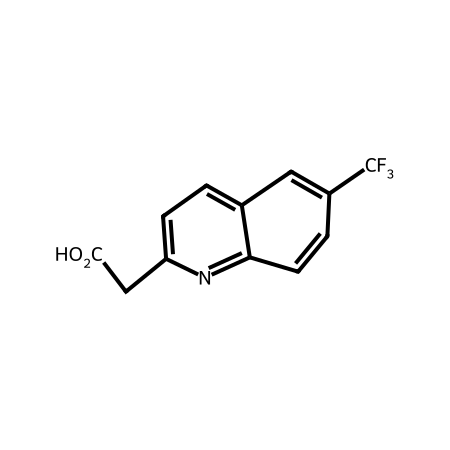 O=C(O)Cc1ccc2cc(C(F)(F)F)ccc2n1